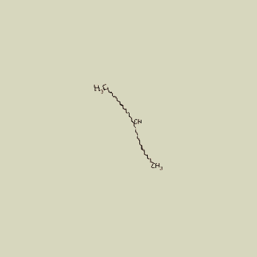 CCCCCCCCC=CCCCCCCCC(O)CCCCCCCC=CCCCCCCCC